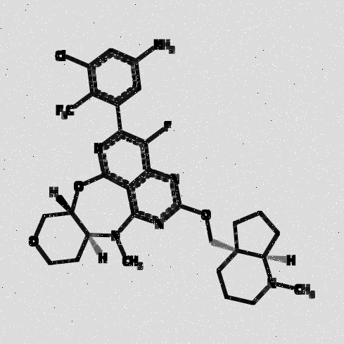 CN1CCC[C@@]2(COc3nc4c5c(nc(-c6cc(N)cc(Cl)c6C(F)(F)F)c(F)c5n3)O[C@H]3COCC[C@@H]3N4C)CCC[C@@H]12